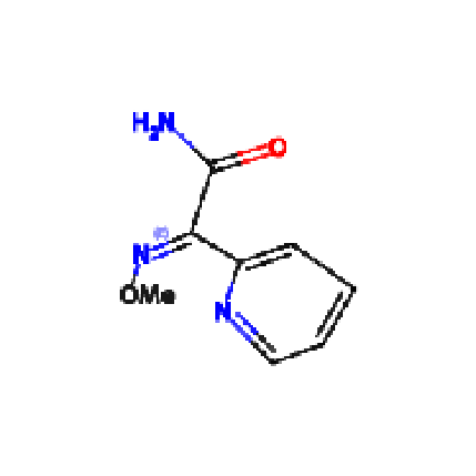 CO/N=C(/C(N)=O)c1ccccn1